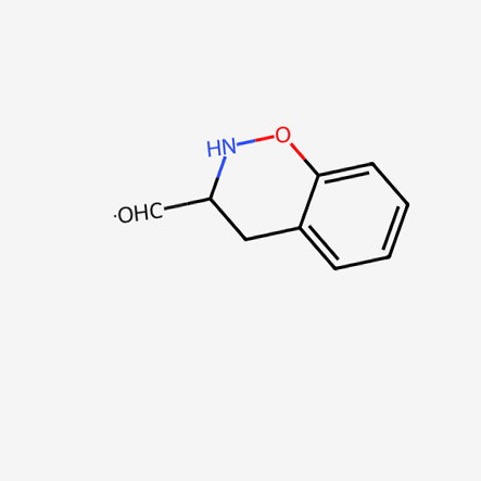 O=[C]C1Cc2ccccc2ON1